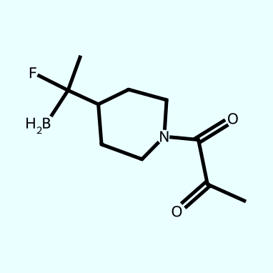 BC(C)(F)C1CCN(C(=O)C(C)=O)CC1